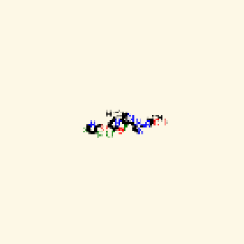 Cc1cnc(-c2ccnc(N3CC(C)(O)C3)n2)c(F)c1-n1c(C)cc(OCc2ncc(F)cc2F)c(Cl)c1=O